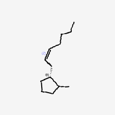 CCCC/C=C\C[C@H]1CCCC1C